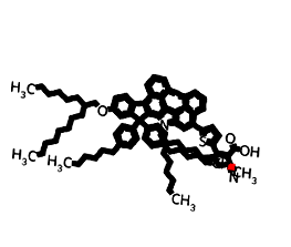 CCCCCCCCC(CCCCCC)COc1ccc2c(c1)C(c1ccc(CCCCCC)cc1)(c1ccc(CCCCCC)cc1)c1c-2c2cccc3c4cccc5c(-c6ccc(C=C(C#N)C(=O)O)s6)cc6c(c54)c(c23)c1n6CC(CCCCCC)CCCCCCCC